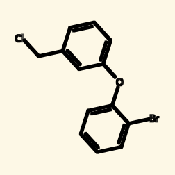 ClCc1cccc(Oc2ccccc2Br)c1